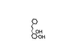 Oc1cccc(C/C=C/c2ccccc2)c1O